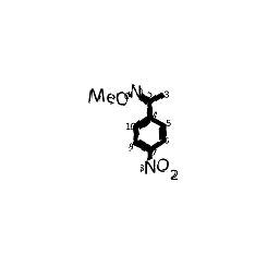 CO/N=C(/C)c1ccc([N+](=O)[O-])cc1